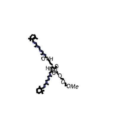 COCCOCCOCCNC(=O)[C@@H](CCCCNC(=O)/C=C(C)/C=C/C=C(C)/C=C/C1=C(C)CCCC1(C)C)NC(=O)/C=C(C)/C=C/C=C(C)/C=C/C1=C(C)CCCC1(C)C